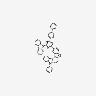 C1=CC2C(c3ccccc3N2c2ccccc2)c2c1oc1ccc(-c3nc(-c4ccc(-c5ccccc5)cc4)nc(-n4c5ccccc5c5ccccc54)n3)cc21